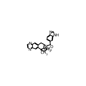 CC12CCN(C(=O)c3ccc4nc[nH]c4c3)C(Cc3cc4nccnc4cc31)C2(C)C